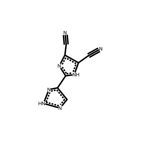 N#Cc1nc(-c2cn[nH]n2)[nH]c1C#N